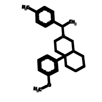 COc1cccc(C23CCCCC2CN(C(C)c2ccc(C)cc2)CC3)c1